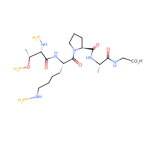 C[C@H](NC(=O)[C@@H]1CCCN1C(=O)[C@H](CCCCNP)NC(=O)[C@@H](NP)[C@@H](C)OP)C(=O)NCC(=O)O